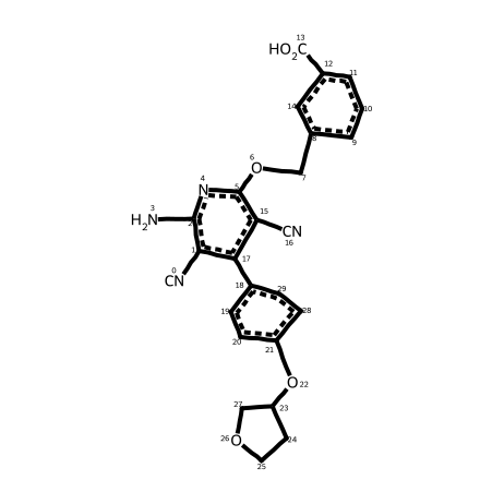 [C-]#[N+]c1c(N)nc(OCc2cccc(C(=O)O)c2)c(C#N)c1-c1ccc(OC2CCOC2)cc1